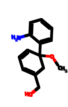 COC1(c2ccccc2N)C=CC=C(CO)C1